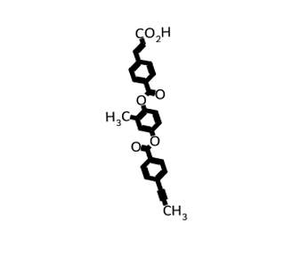 CC#Cc1ccc(C(=O)Oc2ccc(OC(=O)c3ccc(/C=C/C(=O)O)cc3)c(C)c2)cc1